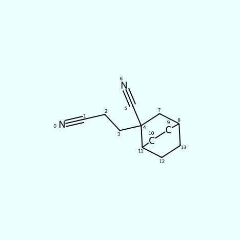 N#CCCC1(C#N)CC2CCC1CC2